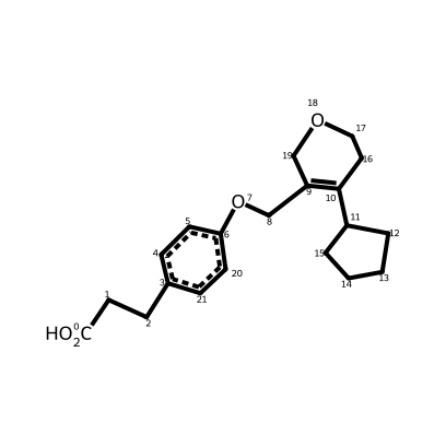 O=C(O)CCc1ccc(OCC2=C(C3CCCC3)CCOC2)cc1